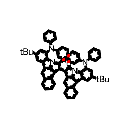 CC(C)(C)c1cc(N(c2ccccc2)c2ccccc2)c2c(c1)c1cc3ccccc3c3c4c5c6cc7ccccc7c7c8cc(C(C)(C)C)cc(N(c9ccccc9)c9ccccc9)c8n(c5ncc4n2c13)c67